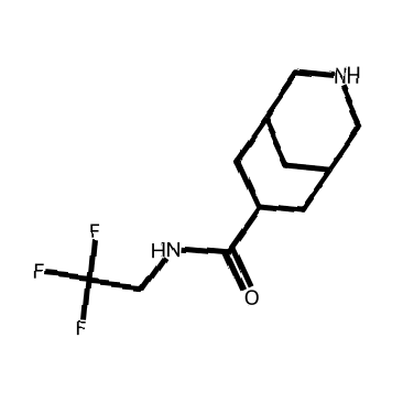 O=C(NCC(F)(F)F)C1CC2CNCC(C2)C1